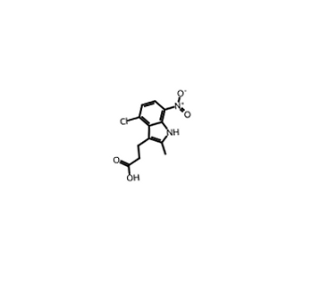 Cc1[nH]c2c([N+](=O)[O-])ccc(Cl)c2c1CCC(=O)O